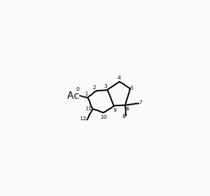 CC(=O)C1CC2CCC(C)(C)C2CC1C